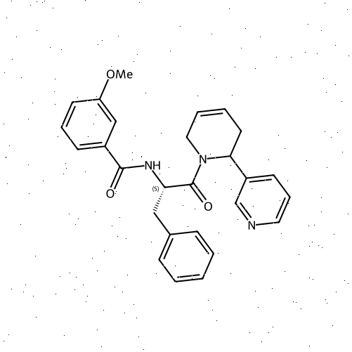 COc1cccc(C(=O)N[C@@H](Cc2ccccc2)C(=O)N2CC=CCC2c2cccnc2)c1